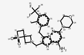 Cc1c(Cc2c(CN3CC4(CCS4(=O)=O)C3)nc3c(N)cc(N4CCOCC4)nn23)cccc1C(F)(F)F